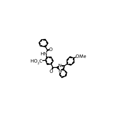 COc1ccc(-c2nc(C(=O)c3ccc(NC(=O)c4ccccc4)c(C(=O)O)c3)n3ccccc23)cc1